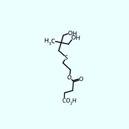 CC(CO)(CO)CSCCOC(=O)CCC(=O)O